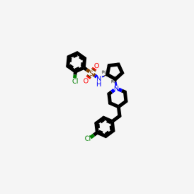 O=S(=O)(N[C@@H]1CCC[C@H]1N1CCC(Cc2ccc(Cl)cc2)CC1)c1ccccc1Cl